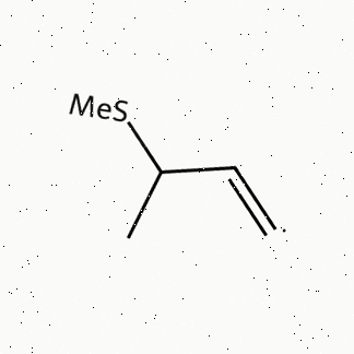 [CH]=CC(C)SC